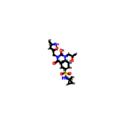 CC(=O)Cn1c(=O)n(Cc2cc(C)no2)c(=O)c2cc(S(=O)(=O)NC3(C)CC3)ccc21